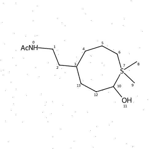 CC(=O)NCCC1CCCS(C)(C)C(O)CC1